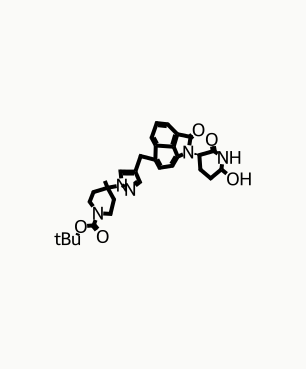 CC(C)(C)OC(=O)N1CCC(C)(n2cc(Cc3ccc4c5c(cccc35)C(=O)N4[C@H]3CCC(O)NC3=O)cn2)CC1